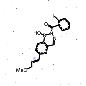 COC/C=C/c1ccc2c(c1)C=NN(C(=O)c1ccccc1I)B2O